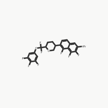 CCCc1cc2ccc(C3CCC(C(F)(F)Oc4cc(F)c(F)c(F)c4)OC3)c(F)c2c(F)c1F